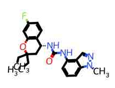 CCC1(CC)C[C@@H](NC(=O)Nc2cccc3c2cnn3C)c2ccc(F)cc2O1